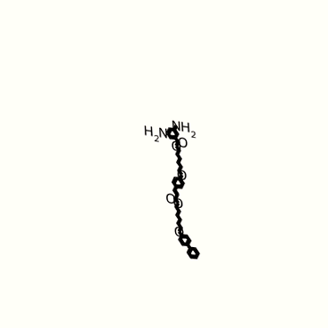 Nc1cc(N)cc(C(=O)OCCCCCCOc2ccc(/C=C/C(=O)OCCCCCCOc3ccc(-c4ccccc4)cc3)cc2)c1